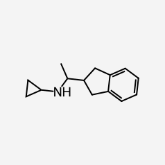 CC(NC1CC1)C1Cc2ccccc2C1